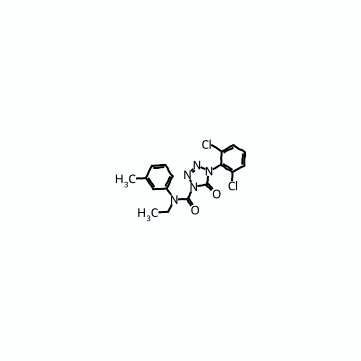 CCN(C(=O)n1nnn(-c2c(Cl)cccc2Cl)c1=O)c1cccc(C)c1